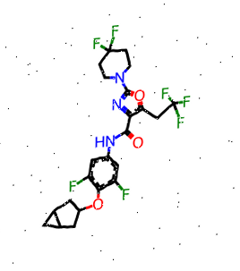 O=C(Nc1cc(F)c(OC2CC3CC3C2)c(F)c1)c1nc(N2CCC(F)(F)CC2)oc1CC(F)(F)F